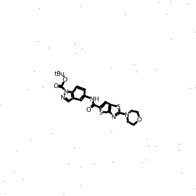 CC(C)(C)OC(=O)n1ncc2cc(NC(=O)c3cc4sc(N5CCOCC5)nc4s3)ccc21